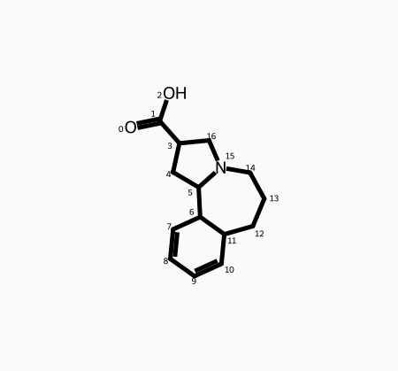 O=C(O)C1CC2C3C=CC=CC3CCCN2C1